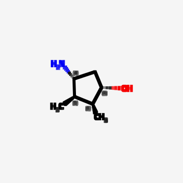 C[C@@H]1[C@H](C)[C@@H](O)C[C@H]1N